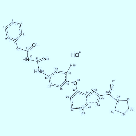 Cl.O=C(Cc1ccccc1)NC(=S)Nc1ccc(Oc2ccnc3cc(C(=O)N4CCCC4)sc23)c(F)c1